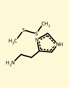 CSSC.NCCc1c[nH]cn1